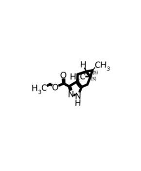 CCOC(=O)c1n[nH]c2c1C[C@@H]1[C@H](C)[C@]1(C)C2